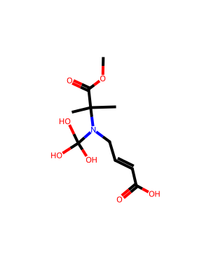 COC(=O)C(C)(C)N(CC=CC(=O)O)C(O)(O)O